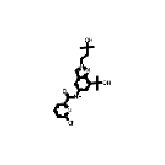 CC(C)(O)CCn1cc2cc(NC(=O)c3cccc(C(F)(F)F)n3)cc(C(C)(C)O)c2n1